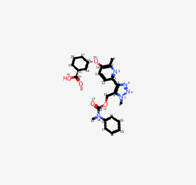 Cc1nc(-c2nnn(C)c2COC(=O)N(C)C2CCCCC2)ccc1O[C@H]1CCC[C@H](C(=O)O)C1